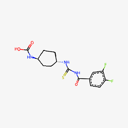 O=C(O)N[C@H]1CC[C@H](NC(=S)NC(=O)c2ccc(F)c(F)c2)CC1